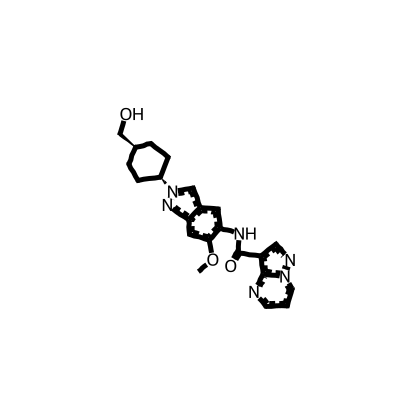 COc1cc2nn([C@H]3CC[C@H](CO)CC3)cc2cc1NC(=O)c1cnn2cccnc12